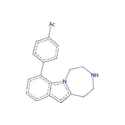 CC(=O)c1ccc(-c2cccc3cc4n(c23)CCNCC4)cc1